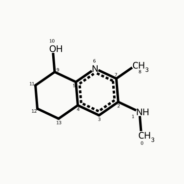 CNc1cc2c(nc1C)C(O)CCC2